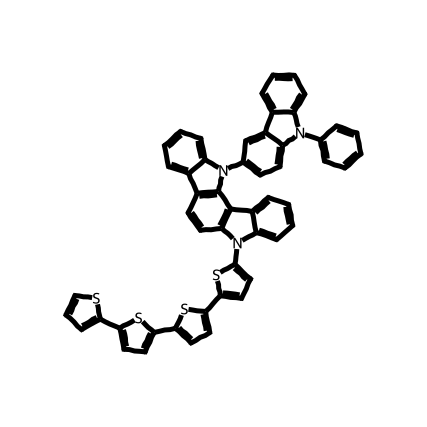 c1ccc(-n2c3ccccc3c3cc(-n4c5ccccc5c5ccc6c(c7ccccc7n6-c6ccc(-c7ccc(-c8ccc(-c9cccs9)s8)s7)s6)c54)ccc32)cc1